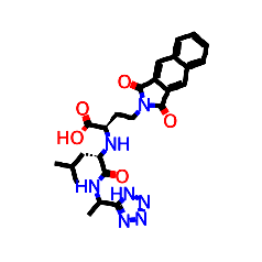 CC(C)C[C@H](N[C@H](CCN1C(=O)c2cc3ccccc3cc2C1=O)C(=O)O)C(=O)NC(C)c1nnn[nH]1